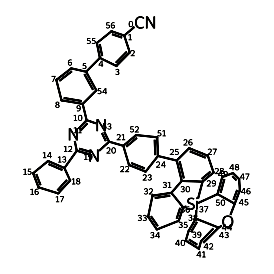 N#Cc1ccc(-c2cccc(-c3nc(-c4ccccc4)nc(-c4ccc(-c5cccc6c5-c5ccccc5[Si]65c6ccccc6Oc6ccccc65)cc4)n3)c2)cc1